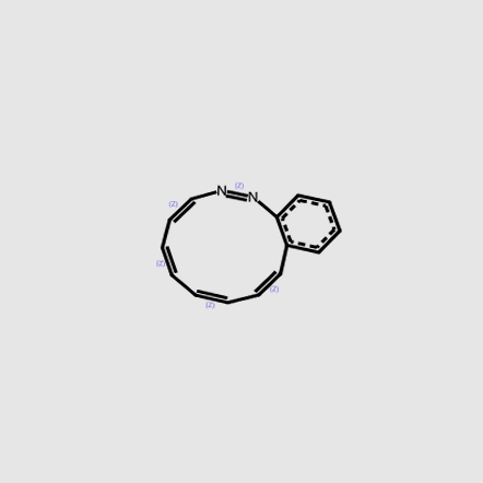 C1=C\C=C/N=N\c2ccccc2/C=C\C=C/1